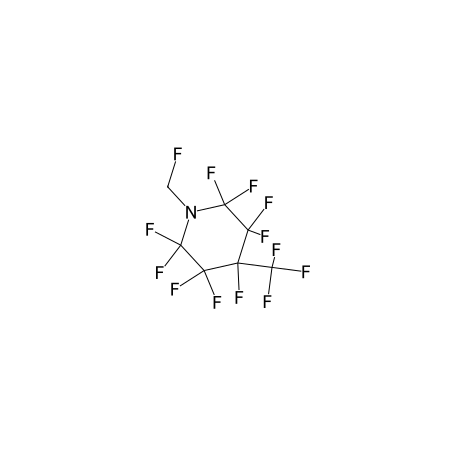 FCN1C(F)(F)C(F)(F)C(F)(C(F)(F)F)C(F)(F)C1(F)F